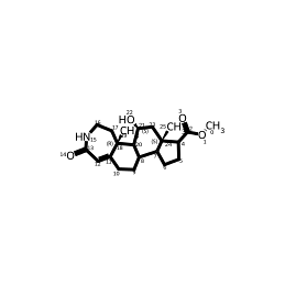 COC(=O)C1CCC2C3CCC4=CC(=O)NCC[C@]4(C)C3[C@@H](O)C[C@]12C